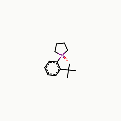 CC(C)(C)c1ccccc1P1(=O)CCCC1